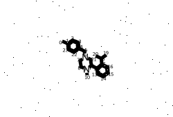 Cc1ccc(CN2CCN(C)C(c3ccccc3C(C)C)C2)cc1